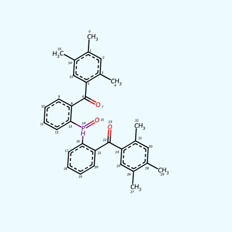 Cc1cc(C)c(C(=O)c2ccccc2[PH](=O)c2ccccc2C(=O)c2cc(C)c(C)cc2C)cc1C